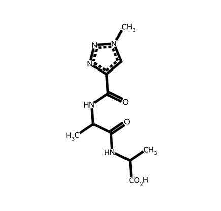 CC(NC(=O)C(C)NC(=O)c1cn(C)nn1)C(=O)O